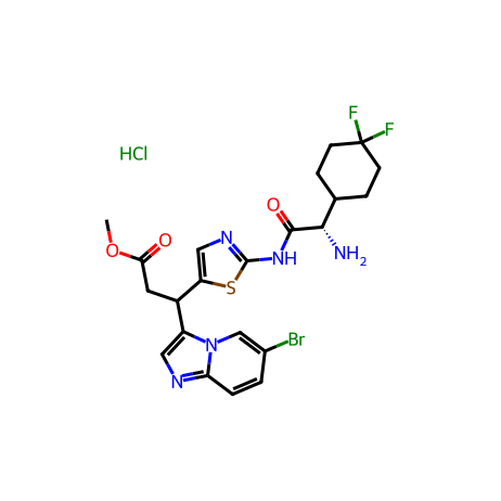 COC(=O)CC(c1cnc(NC(=O)[C@@H](N)C2CCC(F)(F)CC2)s1)c1cnc2ccc(Br)cn12.Cl